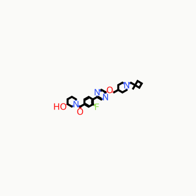 CC1(CN2CCC(COc3cnc(-c4ccc(C(=O)N5CCC[C@@H](O)C5)cc4F)cn3)CC2)CCC1